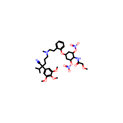 COCC(=O)NC1C(O[N+](=O)[O-])CC(Oc2ccccc2CCN(C)CCCC(C#N)(c2cc(OC)c(OC)c(OC)c2)C(C)C)CC1O[N+](=O)[O-]